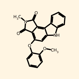 COc1ccccc1Oc1cc2[nH]c3ccccc3c2c2c1C(=O)N(C)C2=O